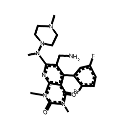 CN1CCN(N(C)c2nc3c(c(-c4cc(F)ccc4Br)c2CN)c(=O)n(C)c(=O)n3C)CC1